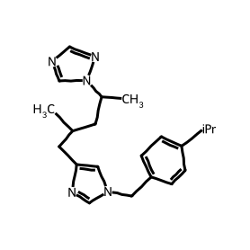 CC(Cc1cn(Cc2ccc(C(C)C)cc2)cn1)CC(C)n1cncn1